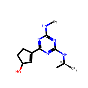 CC(C)Nc1nc(N[C@H](C)C(F)(F)F)nc(C2=CC(O)CC2)n1